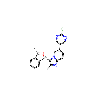 Cc1nc2ccc(-c3cnc(Cl)nc3)cn2c1[C@H]1O[C@@H](C)c2ccccc21